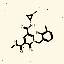 CNC(=O)c1cc(C(=O)N[C@@H]2C[C@H]2C)cn(Cc2cccc(C)c2F)c1=O